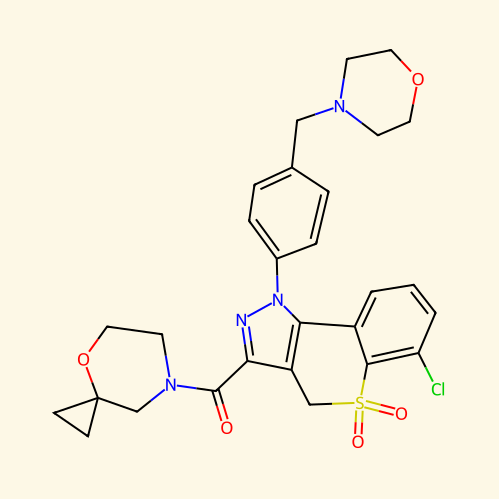 O=C(c1nn(-c2ccc(CN3CCOCC3)cc2)c2c1CS(=O)(=O)c1c(Cl)cccc1-2)N1CCOC2(CC2)C1